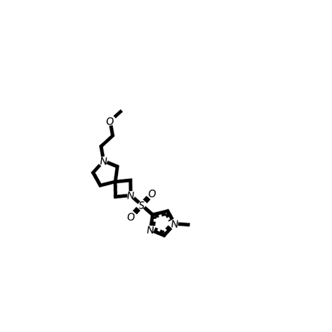 COCCN1CCC2(C1)CN(S(=O)(=O)c1cn(C)cn1)C2